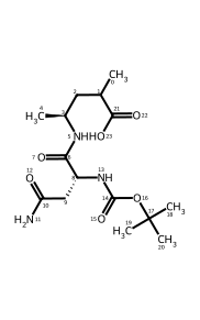 CC(C[C@H](C)NC(=O)[C@@H](CC(N)=O)NC(=O)OC(C)(C)C)C(=O)O